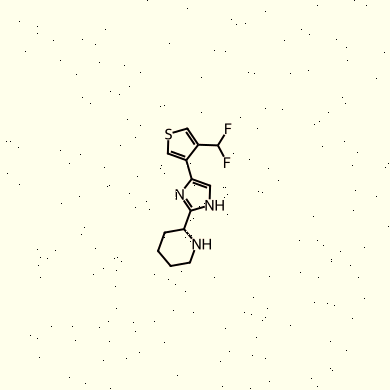 FC(F)c1cscc1-c1c[nH]c(C2CCCCN2)n1